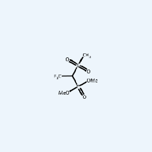 COP(=O)(OC)C(C(F)(F)F)S(C)(=O)=O